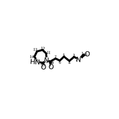 O=C=NCCCCCC(=O)N1CCCCNC1=O